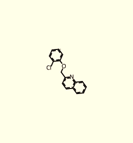 Clc1cc[c]cc1OCc1ccc2ccccc2n1